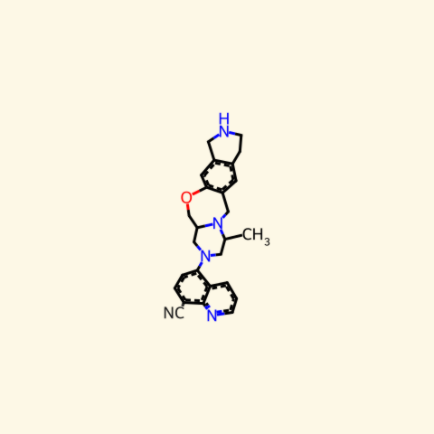 CC1CN(c2ccc(C#N)c3ncccc23)CC2COc3cc4c(cc3CN12)CCNC4